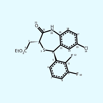 CCOC(=O)C[C@H]1S[C@H](c2cccc(F)c2F)c2cc(Cl)ccc2NC1=O